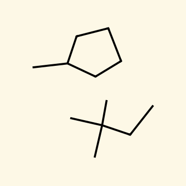 CC1CCCC1.CCC(C)(C)C